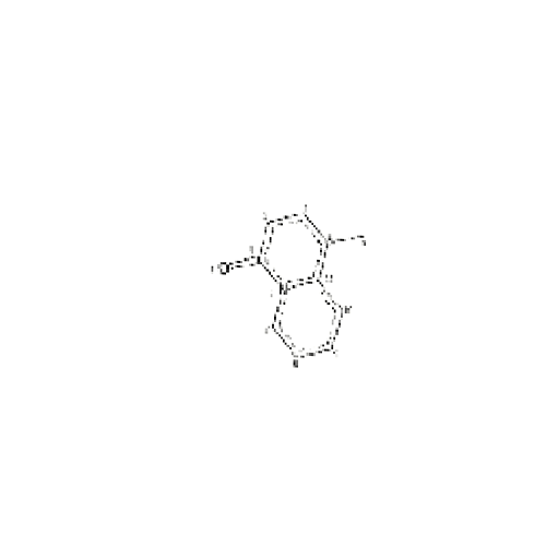 Cc1ccc(=O)n2ccccc12